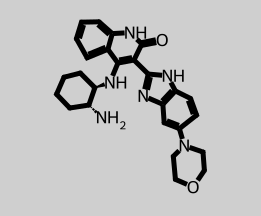 N[C@@H]1CCCC[C@H]1Nc1c(-c2nc3cc(N4CCOCC4)ccc3[nH]2)c(=O)[nH]c2ccccc12